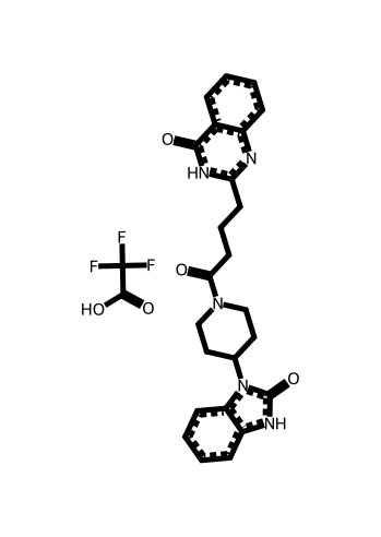 O=C(CCCc1nc2ccccc2c(=O)[nH]1)N1CCC(n2c(=O)[nH]c3ccccc32)CC1.O=C(O)C(F)(F)F